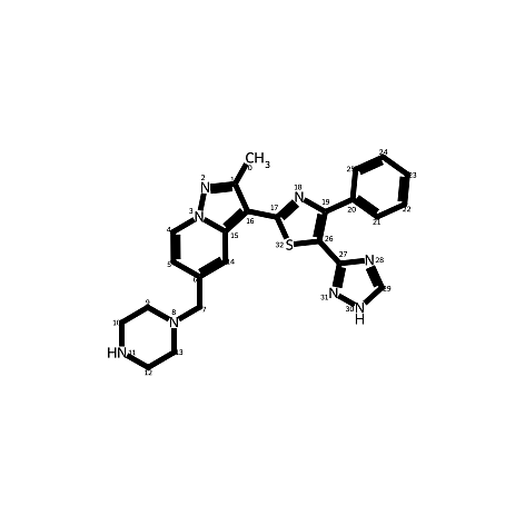 Cc1nn2ccc(CN3CCNCC3)cc2c1-c1nc(-c2ccccc2)c(-c2nc[nH]n2)s1